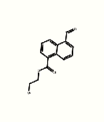 [O]CCOC(=O)c1cccc2c([C]=O)cccc12